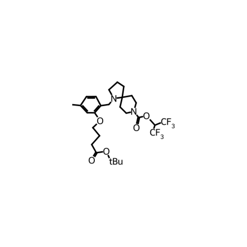 Cc1ccc(CN2CCCC23CCN(C(=O)OC(C(F)(F)F)C(F)(F)F)CC3)c(OCCCC(=O)OC(C)(C)C)c1